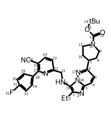 CCc1nc2ccc(C3CCN(C(=O)OC(C)(C)C)CC3)nn2c1NCc1ccc(C#N)c(-c2ccc(F)cc2)n1